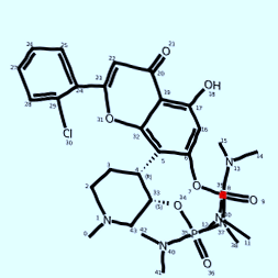 CN1CC[C@H](c2c(OP(=O)(N(C)C)N(C)C)cc(O)c3c(=O)cc(-c4ccccc4Cl)oc23)[C@H](OP(=O)(N(C)C)N(C)C)C1